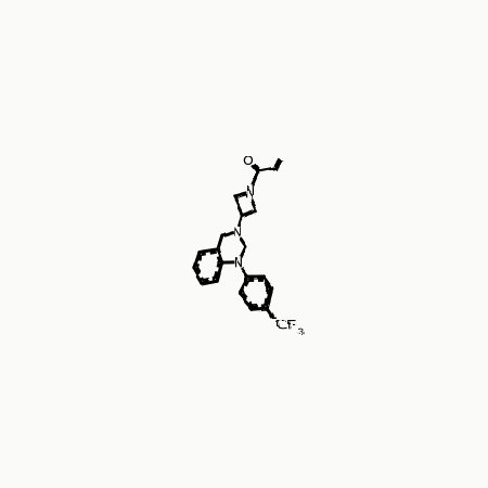 C=CC(=O)N1CC(N2Cc3ccccc3N(c3ccc(C(F)(F)F)cc3)C2)C1